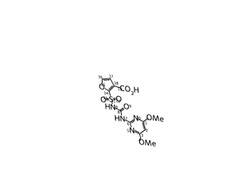 COc1cc(OC)nc(NC(=O)NS(=O)(=O)c2occc2C(=O)O)n1